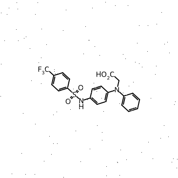 O=C(O)CN(c1ccccc1)c1ccc(NS(=O)(=O)c2ccc(C(F)(F)F)cc2)cc1